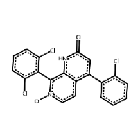 O=c1cc(-c2ccccc2Cl)c2cc[n+]([O-])c(-c3c(Cl)cccc3Cl)c2[nH]1